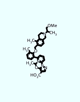 COCC(C)N1CCc2c(ccc(COc3c(C)cccc3-c3cccc4[n+]3C(C)Oc3c(C(=O)O)cnn3-4)c2C)C1